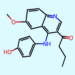 CCCC(=O)c1cnc2ccc(OC)cc2c1Nc1ccc(O)cc1